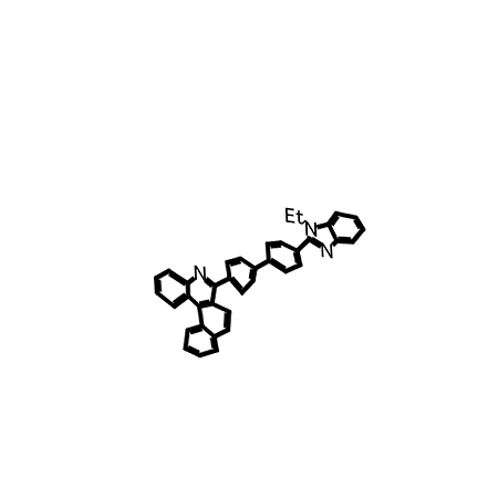 CCn1c(-c2ccc(-c3ccc(-c4nc5ccccc5c5c4ccc4ccccc45)cc3)cc2)nc2ccccc21